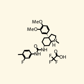 COc1ccc([C@@]23CC[C@@H](NC(=O)Nc4ccc(C)c(F)c4)C[C@@H]2N(C)CC3)cc1OC.O=C(O)C(F)(F)F